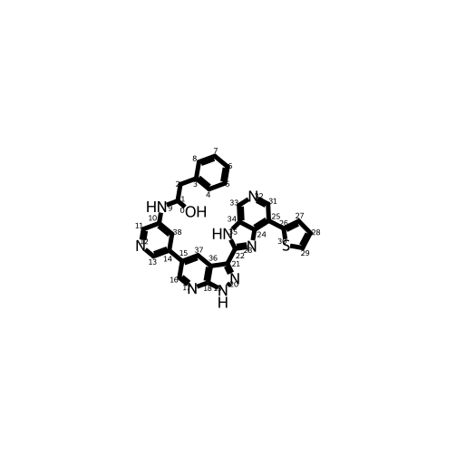 OC(Cc1ccccc1)Nc1cncc(-c2cnc3[nH]nc(-c4nc5c(-c6cccs6)cncc5[nH]4)c3c2)c1